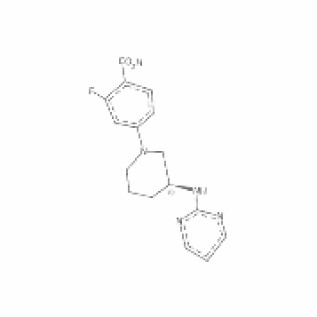 O=C(O)c1ccc(N2CCC[C@H](Nc3ncccn3)C2)cc1F